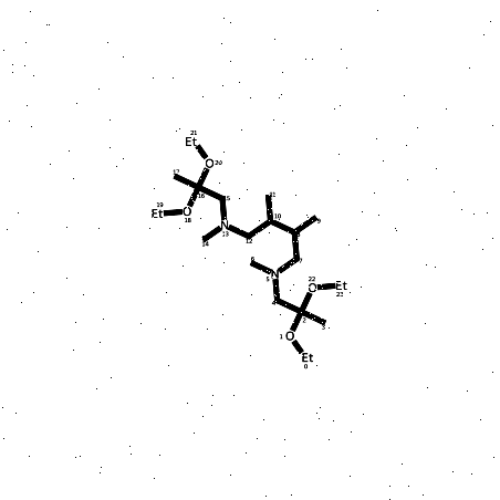 CCOC(C)(CN(C)CC(C)C(C)CN(C)CC(C)(OCC)OCC)OCC